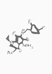 CC(=O)c1cn(C2CC2)c2c(F)c(NCCc3ccc(F)cc3F)c(F)c(N)c2c1=O